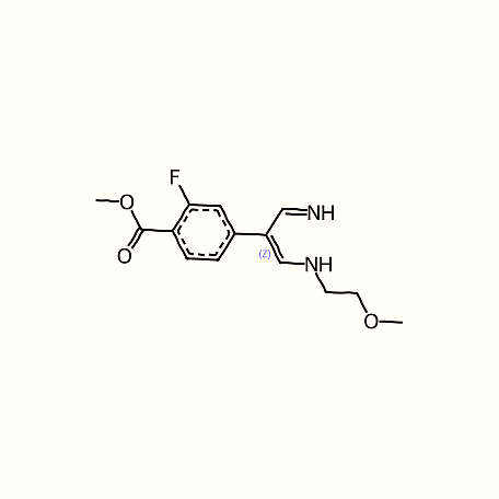 COCCN/C=C(\C=N)c1ccc(C(=O)OC)c(F)c1